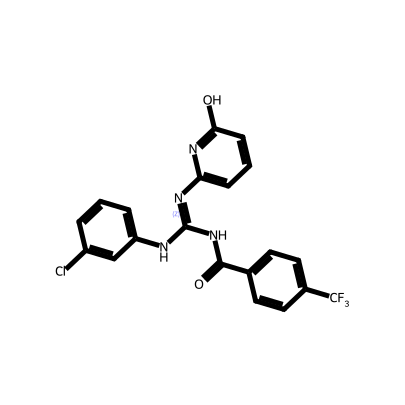 O=C(N/C(=N\c1cccc(O)n1)Nc1cccc(Cl)c1)c1ccc(C(F)(F)F)cc1